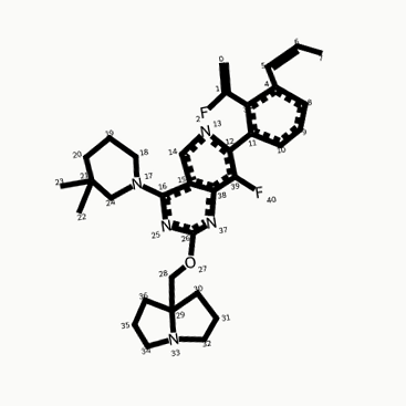 C=C(F)c1c(/C=C\C)cccc1-c1ncc2c(N3CCCC(C)(C)C3)nc(OCC34CCCN3CCC4)nc2c1F